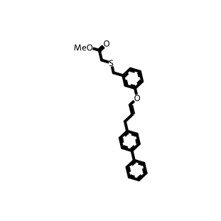 COC(=O)CSCc1cccc(O/C=C/Cc2ccc(-c3ccccc3)cc2)c1